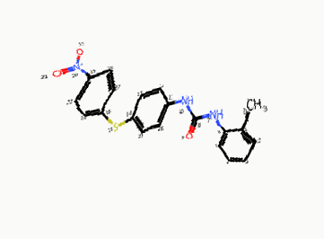 Cc1ccccc1NC(=O)Nc1ccc(Sc2ccc([N+](=O)[O-])cc2)cc1